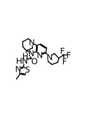 Cc1csc(NC(=O)N2c3nc(N4CCCC(C(F)(F)F)C4)ccc3N3CCC[C@@H]2C3)n1